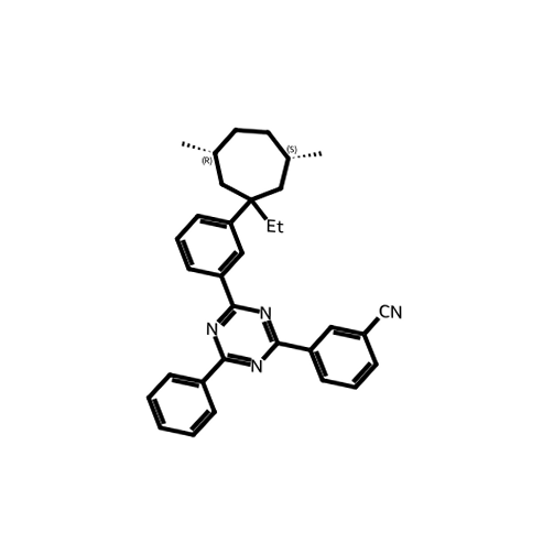 CCC1(c2cccc(-c3nc(-c4ccccc4)nc(-c4cccc(C#N)c4)n3)c2)C[C@H](C)CC[C@H](C)C1